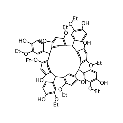 CCOc1cc(C2c3cc(c(OCC)cc3O)C(c3ccc(O)c(OCC)c3)c3cc(c(OCC)cc3O)C(c3ccc(O)c(OCC)c3)c3cc(c(OCC)cc3O)C(c3ccc(O)c(OCC)c3)c3cc2c(OCC)cc3O)ccc1O